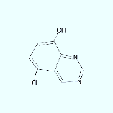 Oc1ccc(Cl)c2cncnc12